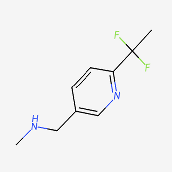 CNCc1ccc(C(C)(F)F)nc1